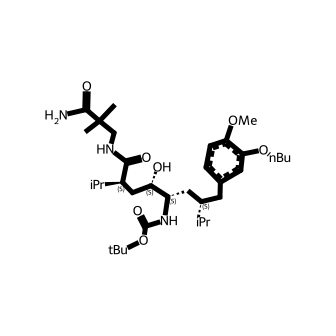 CCCCOc1cc(C[C@@H](C[C@H](NC(=O)OC(C)(C)C)[C@@H](O)C[C@H](C(=O)NCC(C)(C)C(N)=O)C(C)C)C(C)C)ccc1OC